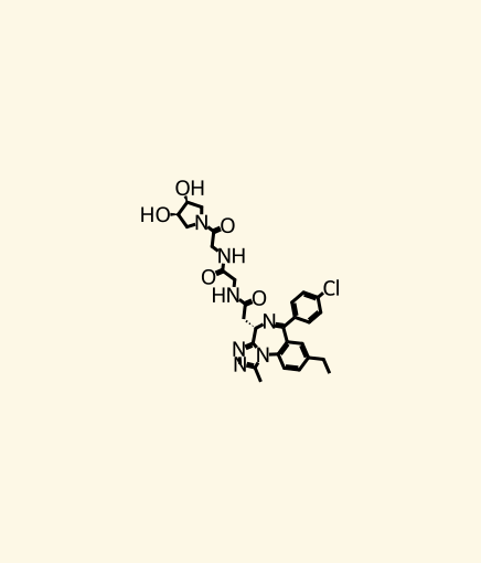 CCc1ccc2c(c1)C(c1ccc(Cl)cc1)=N[C@@H](CC(=O)NCC(=O)NCC(=O)N1C[C@@H](O)[C@@H](O)C1)c1nnc(C)n1-2